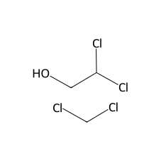 ClCCl.OCC(Cl)Cl